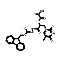 O=C(O)C(=O)NC(Cn1cc(I)c(=O)[nH]c1=O)C(=O)NNC(O)OCC1c2ccccc2-c2ccccc21